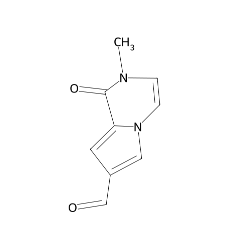 Cn1ccn2cc(C=O)cc2c1=O